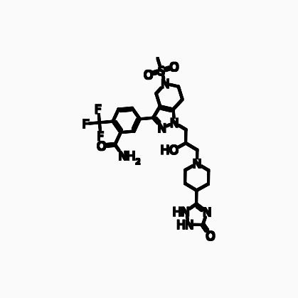 CS(=O)(=O)N1CCc2c(c(-c3ccc(C(F)(F)F)c(C(N)=O)c3)nn2CC(O)CN2CCC(c3nc(=O)[nH][nH]3)CC2)C1